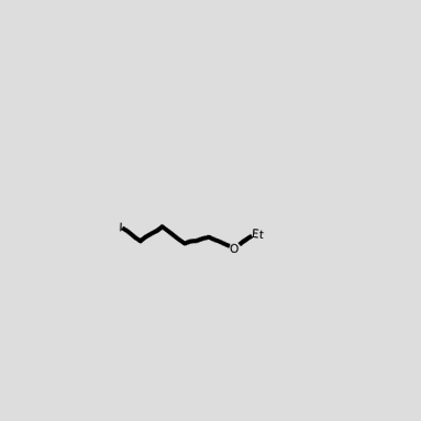 CCOCCCCI